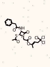 CC(=O)S[C@@H]1[C@H](NC(=O)Cc2ccccc2)C(=O)N1CC(=O)OC(C)=CCC(Cl)(Cl)Cl